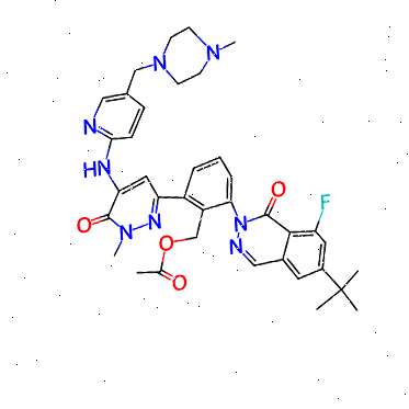 CC(=O)OCc1c(-c2cc(Nc3ccc(CN4CCN(C)CC4)cn3)c(=O)n(C)n2)cccc1-n1ncc2cc(C(C)(C)C)cc(F)c2c1=O